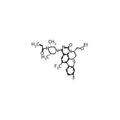 C=CC(=O)N1[C@H](C)CN(c2nc(=O)n3c4c(c(-c5ccc(F)cc5F)c(C(F)(F)F)cc24)SC[C@@H]3COCC)C[C@@H]1C